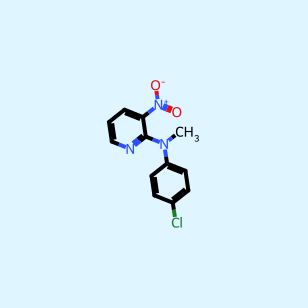 CN(c1ccc(Cl)cc1)c1ncccc1[N+](=O)[O-]